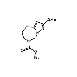 CSc1cc2n(n1)CN(C(=O)OC(C)(C)C)CCC2